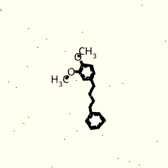 COc1ccc(CCCCc2ccccc2)cc1OC